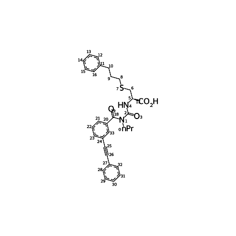 CCCN(C(=O)N[C@@H](CSCCCc1ccccc1)C(=O)O)C(=O)c1cccc(C#Cc2ccccc2)c1